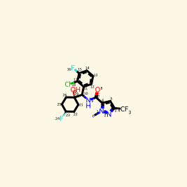 Cn1nc(C(F)(F)F)cc1C(=O)NC(c1cccc(F)c1Cl)[C@]1(O)CC[C@@H](F)CC1